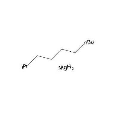 [CH2]C(C)CCCCCCCC.[MgH2]